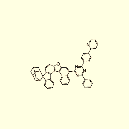 c1ccc(-c2nc(-c3ccc(-c4ccccn4)cc3)nc(-c3cc4oc5ccc6c(c5c4c4ccccc34)-c3ccccc3C63C4CC5CC(C4)CC3C5)n2)cc1